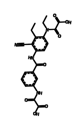 CCc1c(N(CC)C(=O)C(=O)O)ccc(NC(=O)c2cccc(NC(=O)C(=O)O)c2)c1C#N